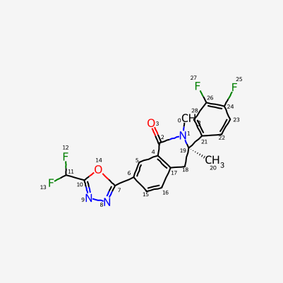 CN1C(=O)c2cc(-c3nnc(C(F)F)o3)ccc2C[C@]1(C)c1ccc(F)c(F)c1